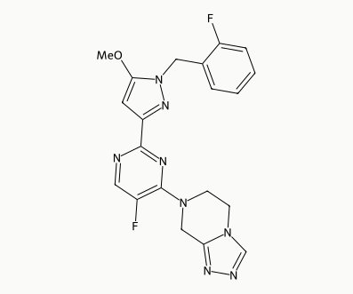 COc1cc(-c2ncc(F)c(N3CCn4cnnc4C3)n2)nn1Cc1ccccc1F